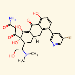 CN(C)[C@H](CO)[C@@H]1C[C@@H]2Cc3c(-c4cncc(Br)c4)ccc(O)c3C(=O)C2=C(O)[C@]1(O)C(=O)CC(N)=O